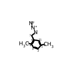 Cc1ccc(C)c(CN=[N+]=[N-])c1